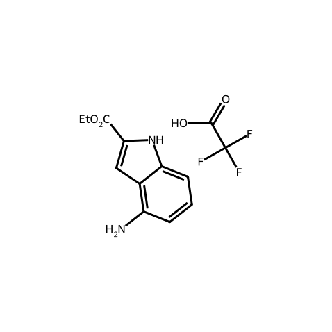 CCOC(=O)c1cc2c(N)cccc2[nH]1.O=C(O)C(F)(F)F